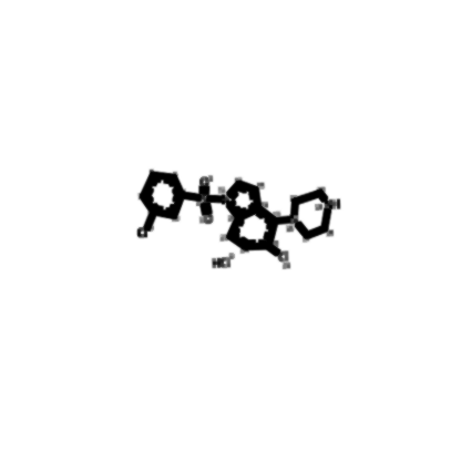 Cl.O=S(=O)(c1cccc(Cl)c1)n1ccc2c(N3CCNCC3)c(Cl)ccc21